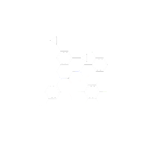 CCOc1cc(C(=O)O)ccc1N(Cc1cc(C2CC2)cc(C2CC2)c1)C(=O)CN(Cc1ccccc1Cl)S(=O)(=O)c1c(F)c(F)c(F)c(F)c1F